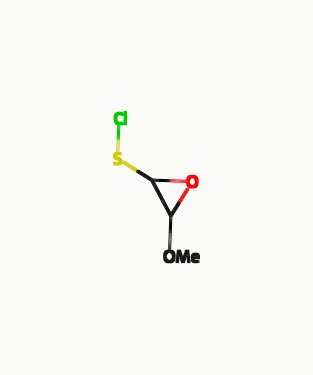 COC1OC1SCl